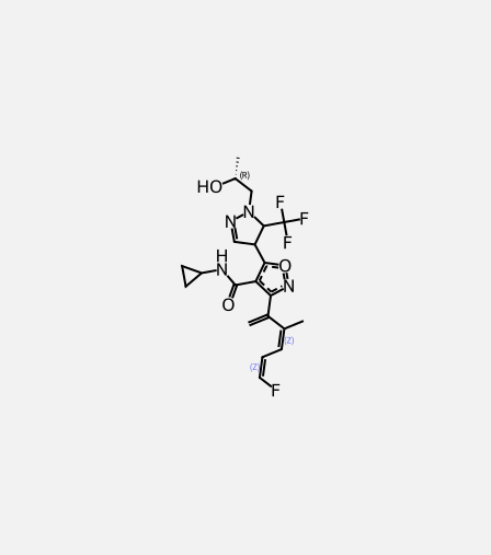 C=C(/C(C)=C\C=C/F)c1noc(C2C=NN(C[C@@H](C)O)C2C(F)(F)F)c1C(=O)NC1CC1